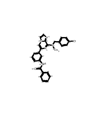 CN(Cc1ccc(Cl)cc1)c1nc(-c2cccc(NC(=O)c3ccccc3)c2)cn2ccnc12